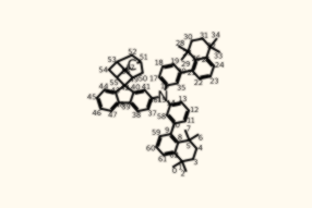 CC1(C)CCC(C)(C)c2c(-c3cccc(N(c4cccc(-c5cccc6c5C(C)(C)CCC6(C)C)c4)c4ccc5c(c4)C4(c6ccccc6-5)C5CC6CC7CC4C75C6)c3)cccc21